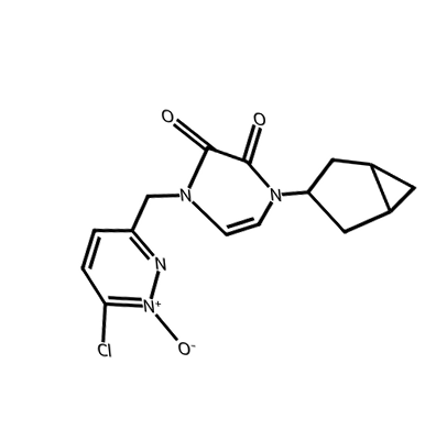 O=c1c(=O)n(C2CC3CC3C2)ccn1Cc1ccc(Cl)[n+]([O-])n1